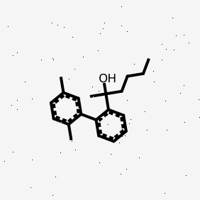 CCCCC(C)(O)c1ccccc1-c1cc(C)ccc1C